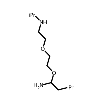 CC(C)CC(N)OCCOCCNC(C)C